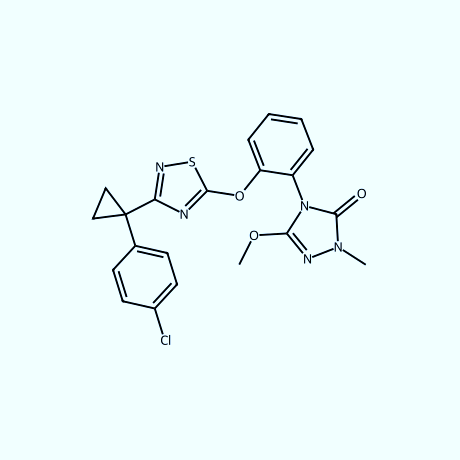 COc1nn(C)c(=O)n1-c1ccccc1Oc1nc(C2(c3ccc(Cl)cc3)CC2)ns1